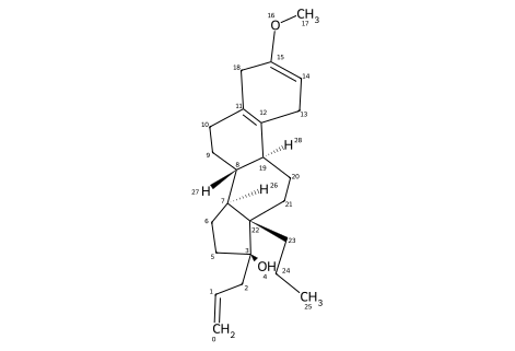 C=CC[C@]1(O)CC[C@H]2[C@@H]3CCC4=C(CC=C(OC)C4)[C@H]3CC[C@@]21CCC